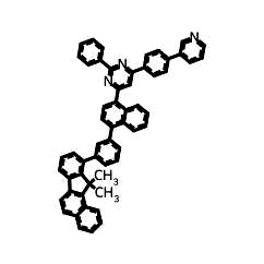 CC1(C)c2c(-c3cccc(-c4ccc(-c5cc(-c6ccc(-c7cccnc7)cc6)nc(-c6ccccc6)n5)c5ccccc45)c3)cccc2-c2ccc3ccccc3c21